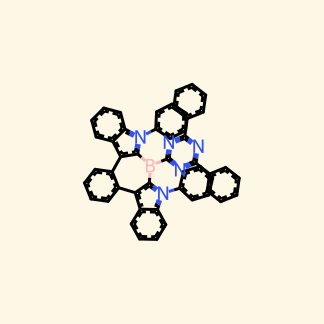 c1ccc(-c2nc(B3c4c(c5ccccc5n4-c4ccccc4)-c4ccccc4-c4c3n(-c3ccccc3)c3ccccc43)nc(-c3ccccc3)n2)cc1